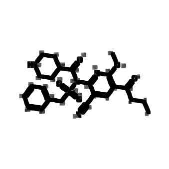 CCCC(=O)c1cc(C#N)c(N(C(=O)C2CCNCC2)S(=O)(=O)Cc2ccccc2)nc1OC